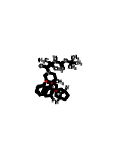 Cc1nc2ccccc2n1[C@H]1C[C@H]2CC[C@@H](C1)N2CCC1(c2cccc(F)c2)CCN(C(=O)C(C)(C)NC(=O)OC(C)(C)C)CC1